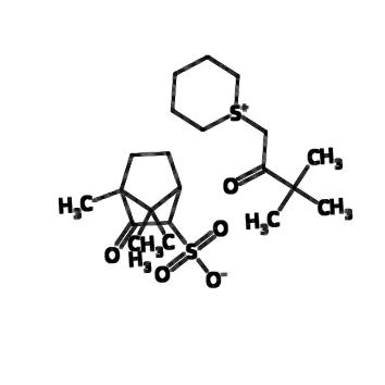 CC(C)(C)C(=O)C[S+]1CCCCC1.CC12CCC(C(S(=O)(=O)[O-])C1=O)C2(C)C